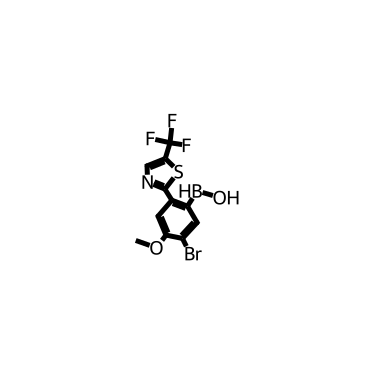 COc1cc(-c2ncc(C(F)(F)F)s2)c(BO)cc1Br